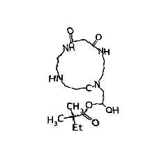 CCC(C)(C)C(=O)OC(O)CN1CCCNCCNC(=O)CC(=O)NCC1